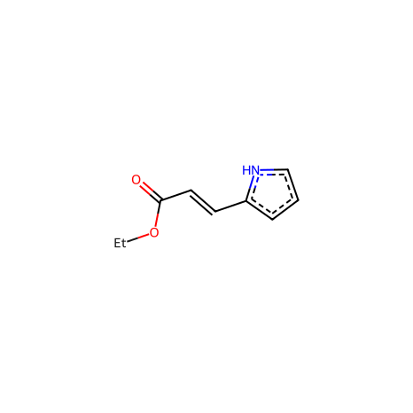 CCOC(=O)C=Cc1ccc[nH]1